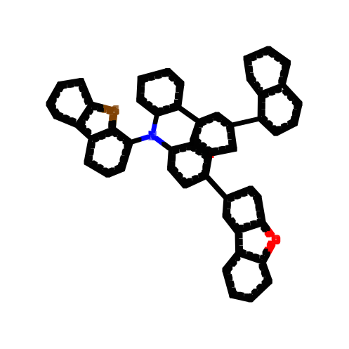 c1cc(-c2ccccc2N(c2ccc(-c3ccc4oc5ccccc5c4c3)cc2)c2cccc3c2sc2ccccc23)cc(-c2cccc3ccccc23)c1